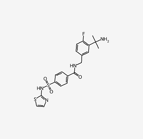 CC(C)(N)c1cc(CNC(=O)c2ccc(S(=O)(=O)Nc3nccs3)cc2)ccc1F